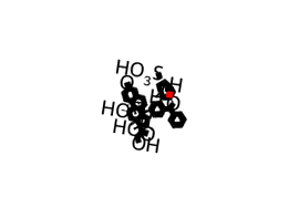 CN1[C@@H]2CC[C@H]1C[C@@H](OC(c1ccccc1)c1ccccc1)C2.CS(=O)(=O)O.C[C@H]1C[C@H]2[C@@H]3CCC4=CC(=O)C=C[C@]4(C)[C@@]3(Cl)[C@@H](O)C[C@]2(C)[C@@]1(O)C(=O)CO